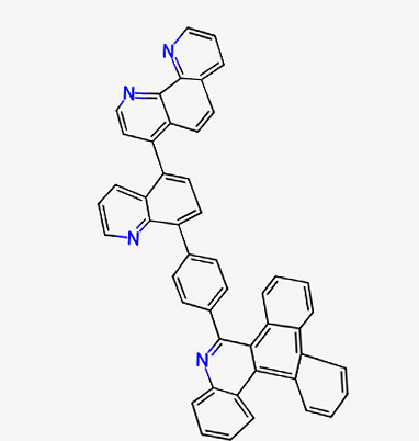 c1cnc2c(c1)ccc1c(-c3ccc(-c4ccc(-c5nc6ccccc6c6c7ccccc7c7ccccc7c56)cc4)c4ncccc34)ccnc12